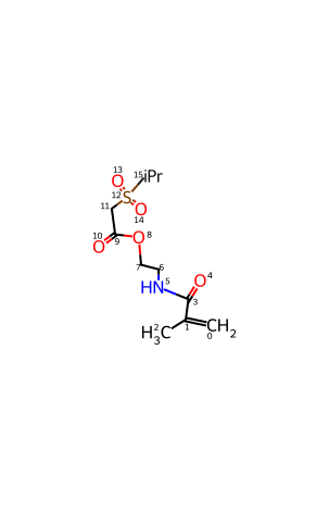 C=C(C)C(=O)NCCOC(=O)CS(=O)(=O)C(C)C